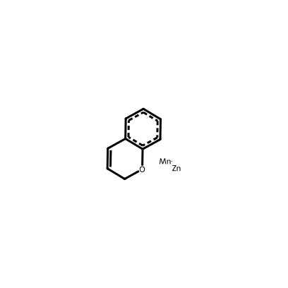 C1=Cc2ccccc2OC1.[Mn].[Zn]